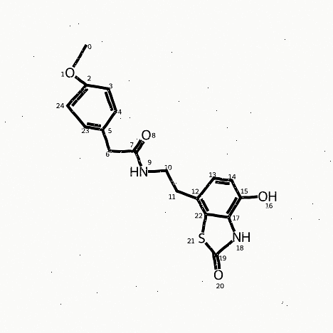 COc1ccc(CC(=O)NCCc2ccc(O)c3[nH]c(=O)sc23)cc1